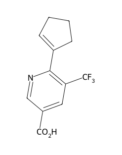 O=C(O)c1cnc(C2=CCCC2)c(C(F)(F)F)c1